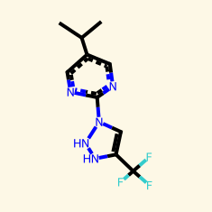 CC(C)c1cnc(N2C=C(C(F)(F)F)NN2)nc1